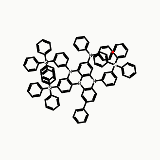 c1ccc(-c2ccc3c(c2)B2c4ccc([Si](c5ccccc5)(c5ccccc5)c5ccccc5)cc4N(c4cccc([Si](c5ccccc5)(c5ccccc5)c5ccccc5)c4)c4cc(N(c5ccccc5)c5ccccc5)cc(c42)N3c2cccc([Si](c3ccccc3)(c3ccccc3)c3ccccc3)c2)cc1